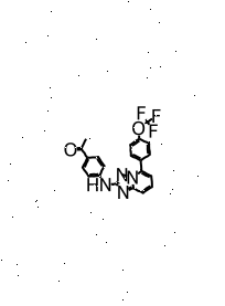 CC(=O)c1ccc(Nc2nc3cccc(-c4ccc(OC(F)(F)F)cc4)n3n2)cc1